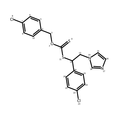 S=C(OCc1ccc(Cl)cc1)SC(Cn1ccnc1)c1ccc(Cl)cc1